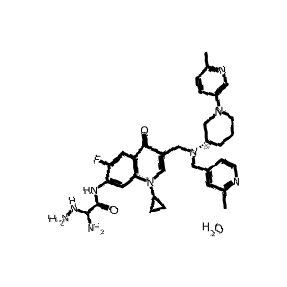 Cc1ccc(N2CCC[C@H](N(Cc3ccnc(C)c3)Cc3cn(C4CC4)c4cc(NC(=O)C(N)NN)c(F)cc4c3=O)C2)cn1.O